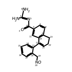 NC(N)=NC(=O)c1ccc2c(c1)C(c1ccccc1CN=O)=CCC2